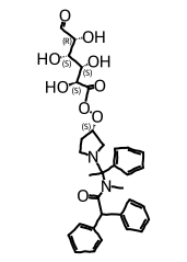 CN(C(=O)C(c1ccccc1)c1ccccc1)C(C)(c1ccccc1)N1CC[C@H](OOC(=O)[C@@H](O)[C@@H](O)[C@H](O)[C@@H](O)C=O)C1